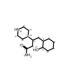 NC(=O)CC(CC1CCCCC1O)N1CCNCC1